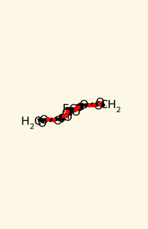 C=CC(=O)OCCCCCCOc1ccc(C(=O)Oc2cc(F)c(OC(=O)c3ccc(OCCCCCCOC(=O)C=C)cc3)c(F)c2)cc1